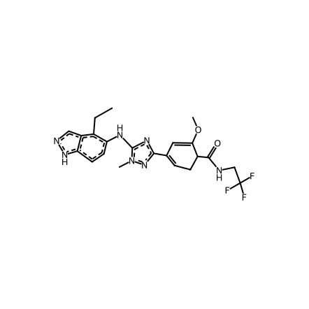 CCc1c(Nc2nc(C3=CCC(C(=O)NCC(F)(F)F)C(OC)=C3)nn2C)ccc2[nH]ncc12